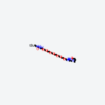 C=C1C=CC(=O)N1Cc1cn(CCOCCOCCOCCOCCOCCOCCOCCNC(=O)NCCC(C)(C)C)nn1